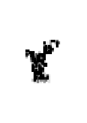 C=C(NCc1c(C)cc(C)[nH]c1=O)c1cc(-c2ccc(CC)nc2)cc2c1c(C)cn2C(C)C